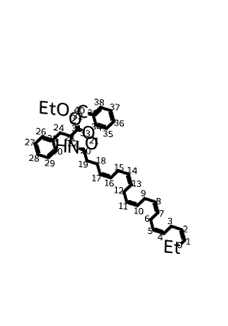 CC/C=C\C/C=C\C/C=C\C/C=C\C/C=C\C/C=C\CCC(=O)NC(Cc1ccccc1)C(=O)Oc1ccccc1C(=O)OCC